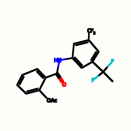 CC(=O)Oc1ccccc1C(=O)Nc1cc(C(C)(F)F)cc(C(F)(F)F)c1